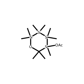 CC(=O)O[Si]1(C)C(C)(C)O[Si](C)(C)[Si](C)(C)[Si]1(C)C